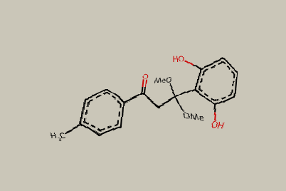 COC(CC(=O)c1ccc(C)cc1)(OC)c1c(O)cccc1O